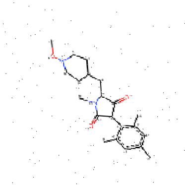 CON1CCC(CC2C(=O)C(c3c(C)cc(C)cc3C)C(=O)N2C)CC1